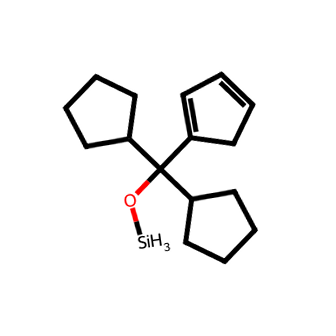 [SiH3]OC(C1=CC=CC1)(C1CCCC1)C1CCCC1